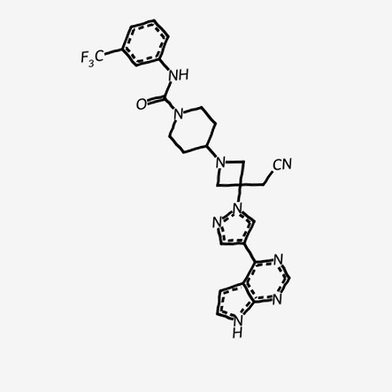 N#CCC1(n2cc(-c3ncnc4[nH]ccc34)cn2)CN(C2CCN(C(=O)Nc3cccc(C(F)(F)F)c3)CC2)C1